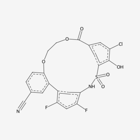 N#Cc1ccc2c(c1)-c1cc(c(F)cc1F)NS(=O)(=O)c1cc(cc(Cl)c1O)C(=O)OCCO2